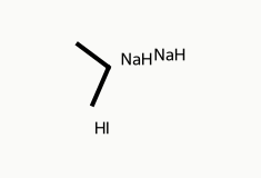 CCC.I.[NaH].[NaH]